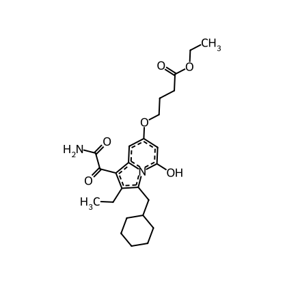 CCOC(=O)CCCOc1cc(O)n2c(CC3CCCCC3)c(CC)c(C(=O)C(N)=O)c2c1